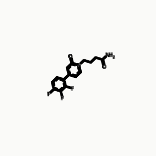 NC(=O)CCCn1ccc(-c2ccc(F)c(F)c2F)cc1=O